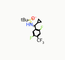 CC(C)(C)[S+]([O-])N[C@@H](c1cc(F)c(C(F)(F)F)cc1F)C1CC1